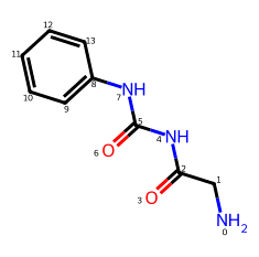 NCC(=O)NC(=O)Nc1ccccc1